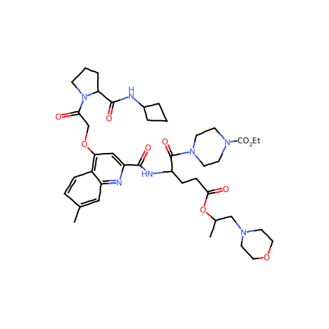 CCOC(=O)N1CCN(C(=O)C(CCC(=O)OC(C)CN2CCOCC2)NC(=O)c2cc(OCC(=O)N3CCCC3C(=O)NC3CCC3)c3ccc(C)cc3n2)CC1